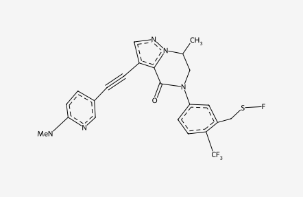 CNc1ccc(C#Cc2cnn3c2C(=O)N(c2ccc(C(F)(F)F)c(CSF)c2)CC3C)cn1